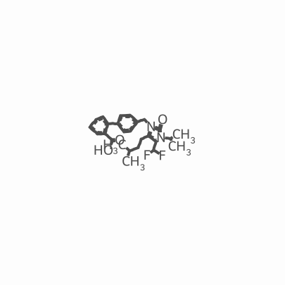 CC(C)CCc1c(C(F)F)n(C(C)C)c(=O)n1Cc1ccc(-c2ccccc2C(=O)O)cc1